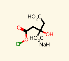 O=C(O)CC(O)(CC(=O)OCl)C(=O)O.[NaH]